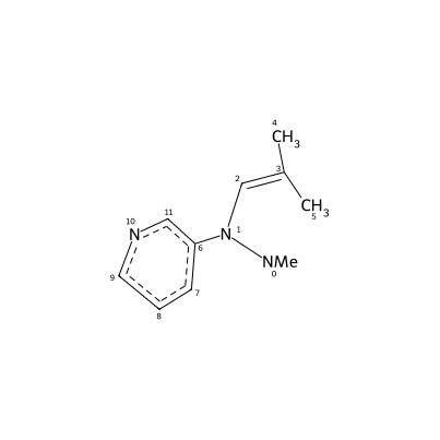 CNN(C=C(C)C)c1cccnc1